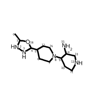 CC1NNC(C2CCN(C3CCNCC3N)CC2)O1